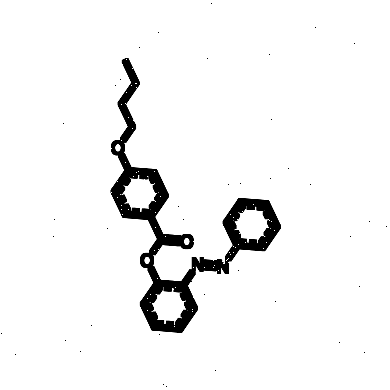 CCCCOc1ccc(C(=O)Oc2ccccc2N=Nc2ccccc2)cc1